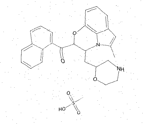 CS(=O)(=O)O.Cc1cc2cccc3c2n1C(CC1CNCCO1)C(C(=O)c1cccc2ccccc12)O3